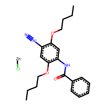 CCCCOc1cc(NC(=O)c2ccccc2)c(OCCCC)cc1[N+]#N.[Cl][Zn-]